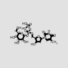 Cc1cn([C@H]2CC(O)[C@@H](COP(=O)(O[C@@H]3O[C@H](CO)[C@@H](O)[C@@H](O)[C@@H]3O)OP(=O)(O)O)O2)c(=O)[nH]c1=O